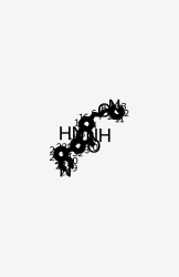 O=C1Nc2cc(CCOc3ccccn3)ccc2Nc2cc(-c3cccc4cnccc34)ccc21